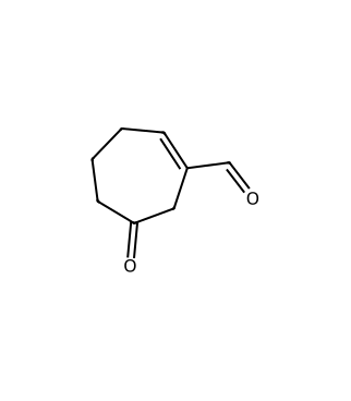 O=CC1=CCCCC(=O)C1